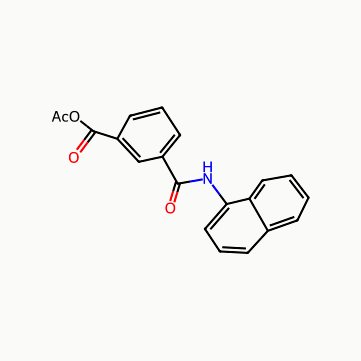 CC(=O)OC(=O)c1cccc(C(=O)Nc2cccc3ccccc23)c1